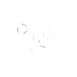 C/C=C(/C)[C@H](NCc1ccccc1)C(OC)OC